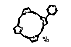 C1=CC2=NC1=CC1=NC(=CC3=NC(=CC4=NC(=C2)C=C4)C=C3c2ccncc2)C=C1.Cl.Cl